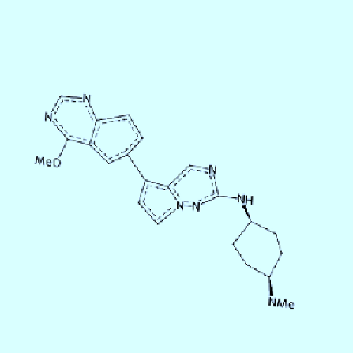 CN[C@H]1CC[C@@H](Nc2ncc3c(-c4ccc5ncnc(OC)c5c4)ccn3n2)CC1